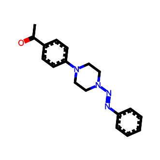 CC(=O)c1ccc(N2CCN(N=Nc3ccccc3)CC2)cc1